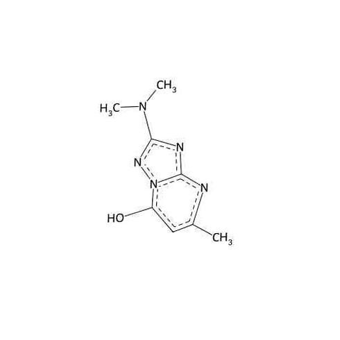 Cc1cc(O)n2nc(N(C)C)nc2n1